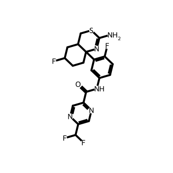 NC1=NC2(c3cc(NC(=O)c4cnc(C(F)F)cn4)ccc3F)CCC(F)CC2CS1